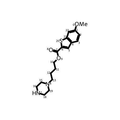 COc1ccc2cc(C(=O)OCCCCN3CCNCC3)sc2c1